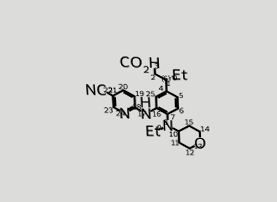 CC[C@@H](CC(=O)O)c1ccc(N(CC)C2CCOCC2)c(Nc2ccc(C#N)cn2)c1